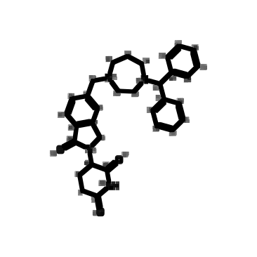 O=C1CCC(N2Cc3cc(CN4CCCN(C(c5ccccc5)c5ccccc5)CC4)ccc3C2=O)C(=O)N1